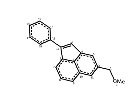 COCc1cc2c3c(cccc3c1)C(c1ccccc1)=C2